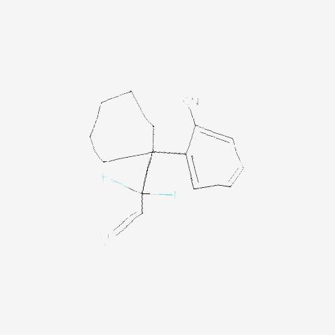 C=CC(F)(F)C1(c2ccccc2C#N)CCCCC1